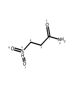 NC(=O)[CH]C[SH](=O)=O